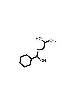 CC(O)COB(O)C1CCCCC1